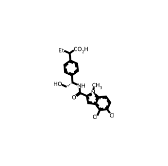 CCC(C(=O)O)c1ccc([C@@H](CO)NC(=O)c2cc3c(Cl)c(Cl)ccc3n2C)cc1